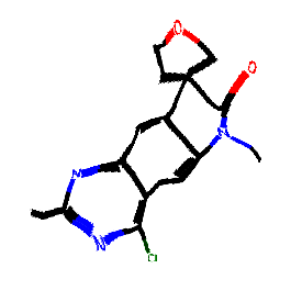 Cc1nc(Cl)c2cc3c(cc2n1)C1(CCOC1)C(=O)N3C